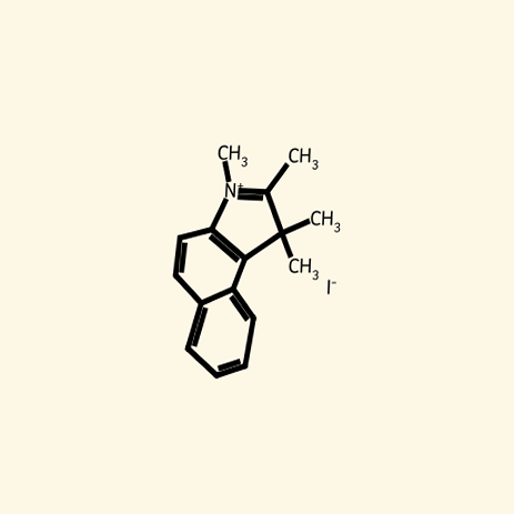 CC1=[N+](C)c2ccc3ccccc3c2C1(C)C.[I-]